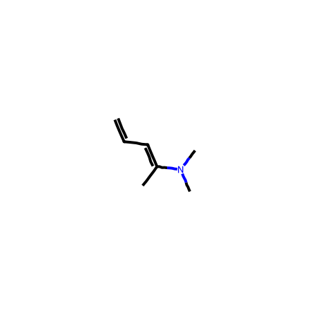 C=C/C=C(\C)N(C)C